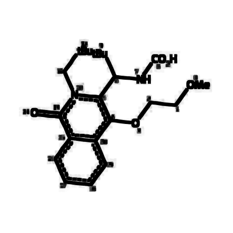 COCCOc1c(C(NC(=O)O)C(C)(C)C)n(CC(C)(C)C)c(=O)c2ccccc12